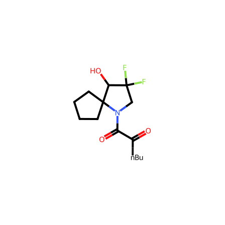 CCCCC(=O)C(=O)N1CC(F)(F)C(O)C12CCCC2